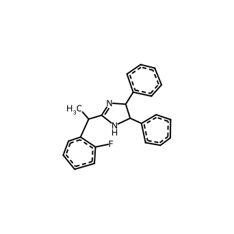 CC(C1=NC(c2ccccc2)C(c2ccccc2)N1)c1ccccc1F